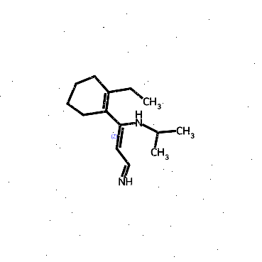 CCC1=C(/C(=C/C=N)NC(C)C)CCCC1